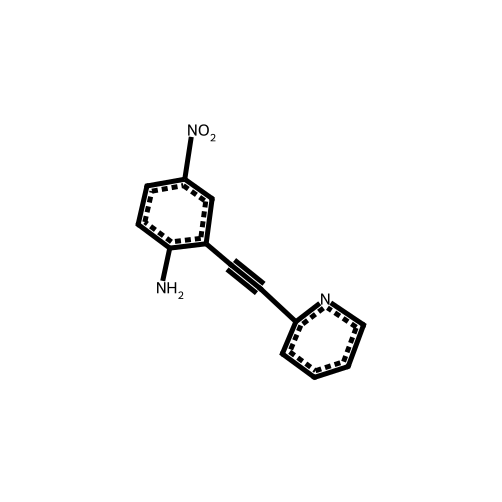 Nc1ccc([N+](=O)[O-])cc1C#Cc1ccccn1